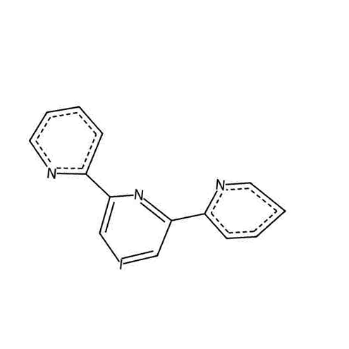 C1=IC=C(c2ccccn2)N=C1c1ccccn1